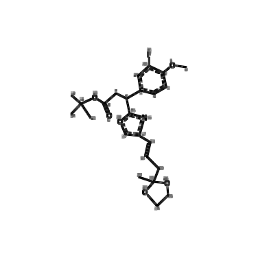 COc1ccc(C(CC(=O)OC(C)(C)C)c2nc(C=CCC3(C)OCCO3)co2)cc1F